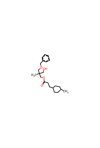 CC1CCC(CCC(=O)OCC(C)(CO)COCc2ccccc2)CC1